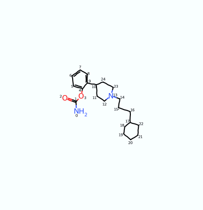 NC(=O)Oc1ccccc1C1CCN(C[CH]CC2CCCCC2)CC1